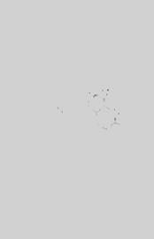 CCCN1CCC(c2nn(C)c3[nH]c(=O)c4c(c23)CCCC4)C1